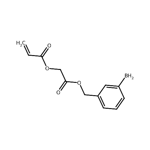 Bc1cccc(COC(=O)COC(=O)C=C)c1